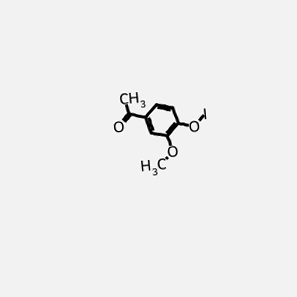 COc1cc(C(C)=O)ccc1OI